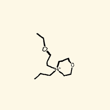 CCC[N+]1(CCOCC)CCOCC1